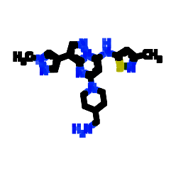 Cc1cc(Nc2cc(N3CCC(CN)CC3)nc3c(-c4cnn(C)c4)cnn23)sn1